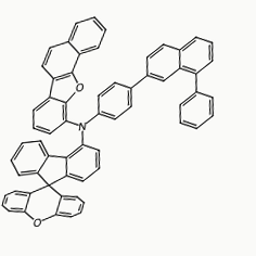 c1ccc(-c2cccc3ccc(-c4ccc(N(c5cccc6c5-c5ccccc5C65c6ccccc6Oc6ccccc65)c5cccc6c5oc5c7ccccc7ccc65)cc4)cc23)cc1